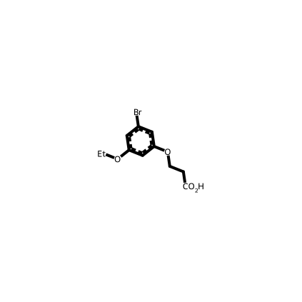 CCOc1cc(Br)cc(OCCC(=O)O)c1